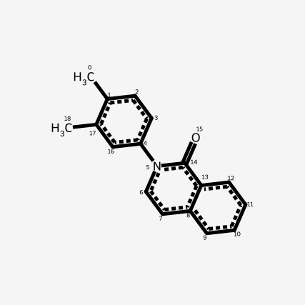 Cc1ccc(-n2ccc3ccccc3c2=O)cc1C